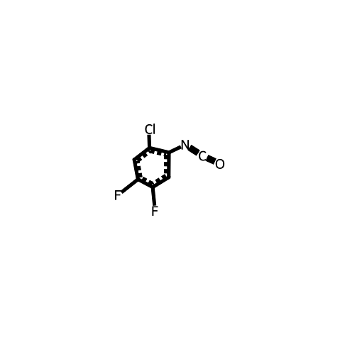 O=C=Nc1cc(F)c(F)cc1Cl